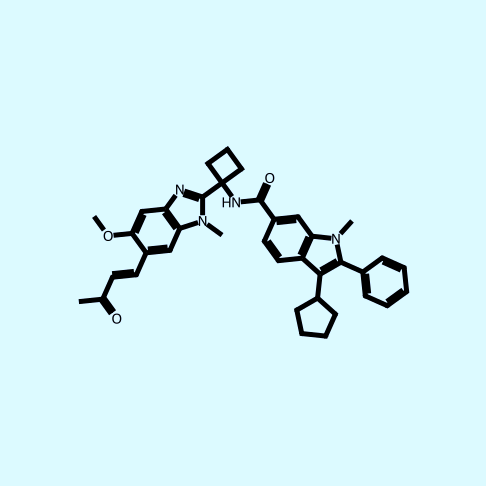 COc1cc2nc(C3(NC(=O)c4ccc5c(C6CCCC6)c(-c6ccccc6)n(C)c5c4)CCC3)n(C)c2cc1/C=C/C(C)=O